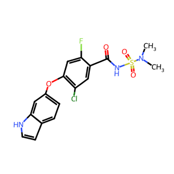 CN(C)S(=O)(=O)NC(=O)c1cc(Cl)c(Oc2ccc3cc[nH]c3c2)cc1F